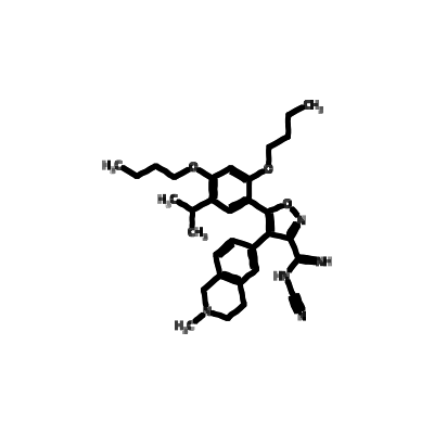 CCCCOc1cc(OCCCC)c(C(C)C)cc1-c1onc(C(=N)NC#N)c1-c1ccc2c(c1)CCN(C)C2